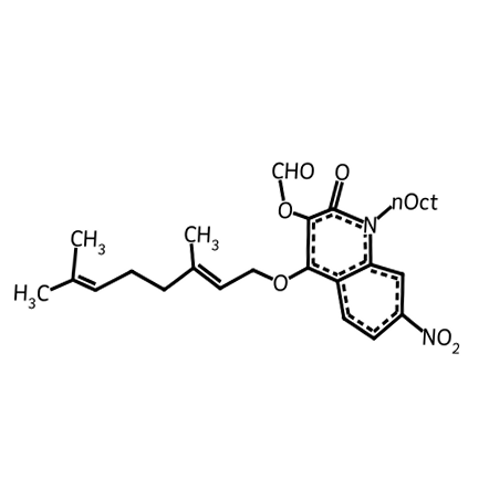 CCCCCCCCn1c(=O)c(OC=O)c(OC/C=C(\C)CCC=C(C)C)c2ccc([N+](=O)[O-])cc21